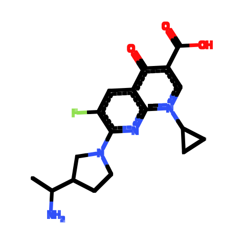 CC(N)C1CCN(c2nc3c(cc2F)c(=O)c(C(=O)O)cn3C2CC2)C1